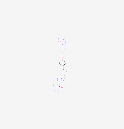 CC(C)c1noc(N2CCC(COc3ccc(C4=CCC(C(=O)NCCC(=O)N5CCCC5C#N)CC4)cc3F)CC2)n1